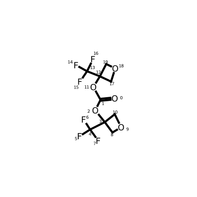 O=C(OC1(C(F)(F)F)COC1)OC1(C(F)(F)F)COC1